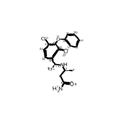 CC[C@H](N[C@@H](C)CC(N)=O)c1ccc(Cl)c(Oc2ccccc2)c1Cl